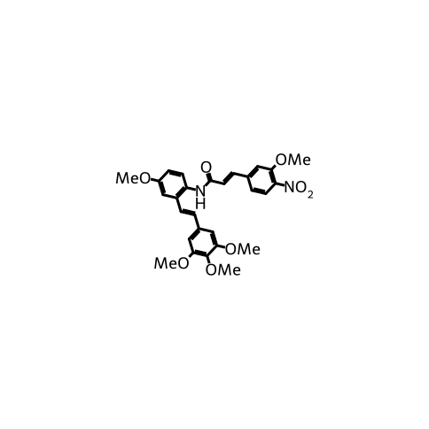 COc1ccc(NC(=O)/C=C/c2ccc([N+](=O)[O-])c(OC)c2)c(/C=C/c2cc(OC)c(OC)c(OC)c2)c1